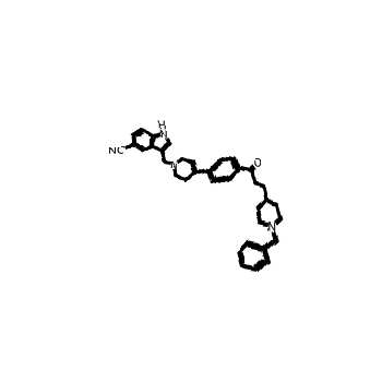 N#Cc1ccc2[nH]cc(CN3CCC(c4ccc(C(=O)CCC5CCN(Cc6ccccc6)CC5)cc4)CC3)c2c1